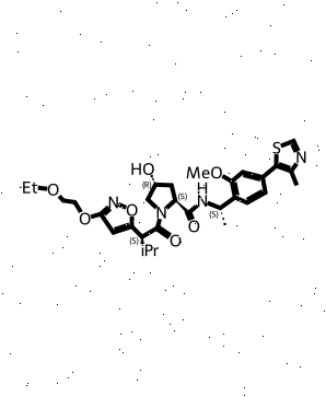 C[CH]OCCOc1cc([C@@H](C(=O)N2C[C@H](O)C[C@H]2C(=O)N[C@@H](C)c2ccc(-c3scnc3C)cc2OC)C(C)C)on1